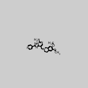 COc1cc2c(cc1OC)CN(Cc1cnc(N)n3nc(-c4ccncc4)nc13)CC2